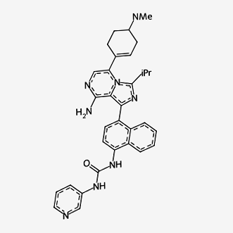 CNC1CC=C(c2cnc(N)c3c(-c4ccc(NC(=O)Nc5cccnc5)c5ccccc45)nc(C(C)C)n23)CC1